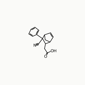 N#CC1(c2ccccc2)C2C=CC(C2)C1CC(=O)O